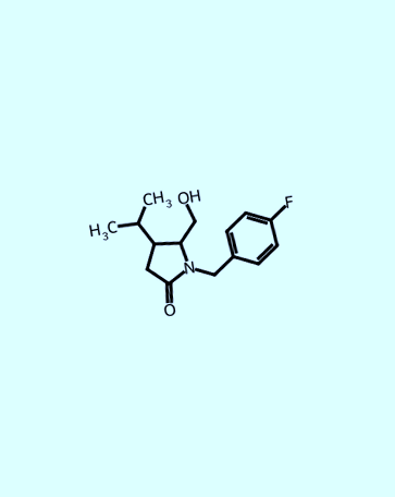 CC(C)C1CC(=O)N(Cc2ccc(F)cc2)C1CO